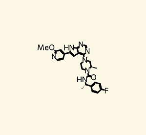 COc1cc(-c2cc3c(N4CCN(C(=O)N[C@@H](C)c5ccc(F)cc5)[C@H](C)C4)ncnc3[nH]2)ccn1